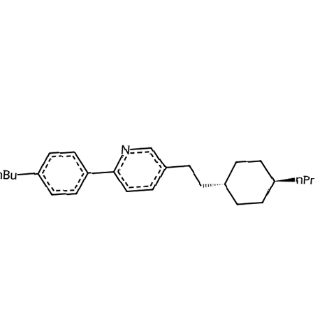 CCCCc1ccc(-c2ccc(CC[C@H]3CC[C@H](CCC)CC3)cn2)cc1